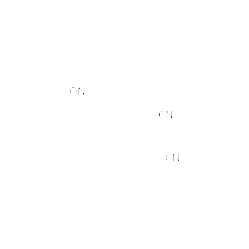 CC(C)(C=C(C#N)C(C)(C)C#N)N=O